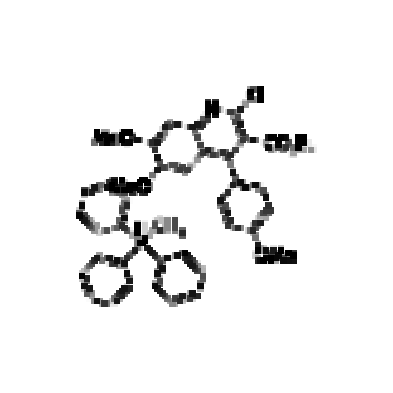 CCOC(=O)c1c(Cl)nc2cc(OC)c(OC)cc2c1-c1ccc(OC)cc1.C[PH](c1ccccc1)(c1ccccc1)c1ccccc1